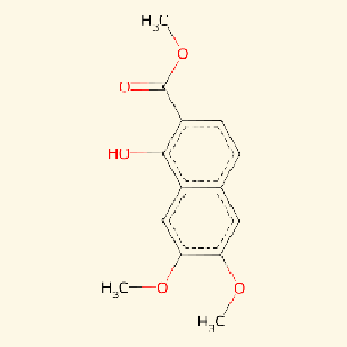 COC(=O)c1ccc2cc(OC)c(OC)cc2c1O